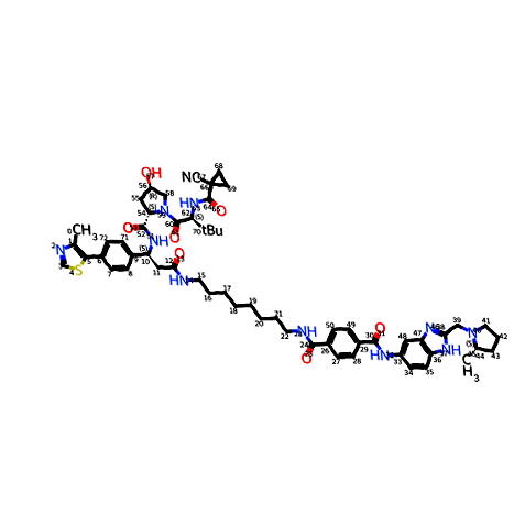 Cc1ncsc1-c1ccc([C@H](CC(=O)NCCCCCCCCNC(=O)c2ccc(C(=O)Nc3ccc4[nH]c(CN5CCC[C@@H]5C)nc4c3)cc2)NC(=O)[C@@H]2C[C@@H](O)CN2C(=O)[C@@H](NC(=O)C2(C#N)CC2)C(C)(C)C)cc1